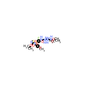 COc1ccc(CN(c2scnc2C(=O)OCC(C)C)S(=O)(=O)c2ccc(NC(=O)CNC(=N)NCCNC(=O)OC(C)(C)C)c(F)c2)cc1